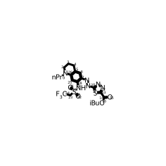 CCCN1CCCc2cc(N=Nc3nnc(C(=O)OCC(C)C)s3)c(NS(=O)(=O)CC(F)(F)F)cc21